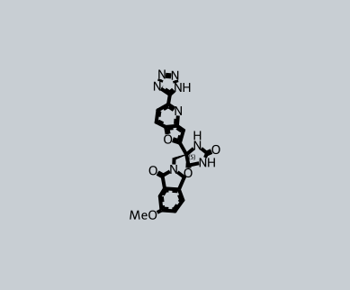 COc1ccc2c(c1)C(=O)N(C[C@@]1(c3cc4nc(-c5nnn[nH]5)ccc4o3)NC(=O)NC1=O)C2